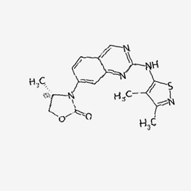 Cc1nsc(Nc2ncc3ccc(N4C(=O)OC[C@@H]4C)cc3n2)c1C